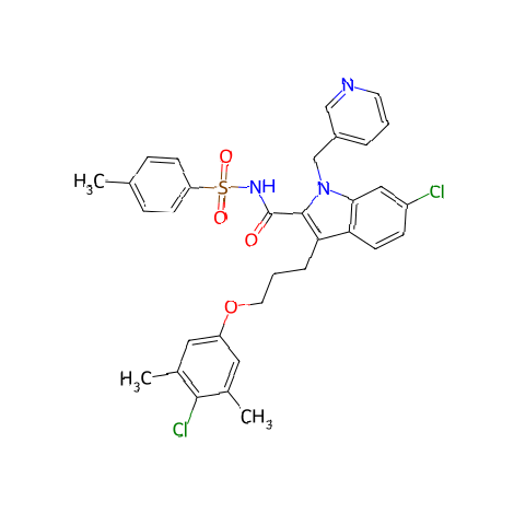 Cc1ccc(S(=O)(=O)NC(=O)c2c(CCCOc3cc(C)c(Cl)c(C)c3)c3ccc(Cl)cc3n2Cc2cccnc2)cc1